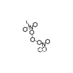 C=C/C=C(\c1ccccc1)N(c1ccccc1)c1ccc(-c2cccc(-c3ccc(N(C4=C5C=CC=CC5CC=C4)c4ccccc4)cc3)c2)cc1